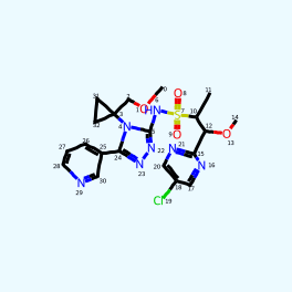 COCC1(n2c(NS(=O)(=O)C(C)C(OC)c3ncc(Cl)cn3)nnc2-c2cccnc2)CC1